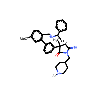 COc1ccc(CNC(C)c2ccccc2)c(-c2cccc(C3(C)CC(=N)N(CC4CCN(C(C)=O)CC4)C3=O)c2)c1